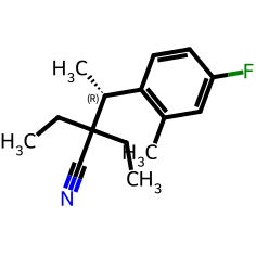 CCC(C#N)(CC)[C@H](C)c1ccc(F)cc1C